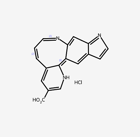 Cl.O=C(O)C1=CN/C2=c3\cc4c(cc3/N=C\C=C/C2=C1)=NC=C4